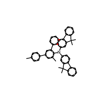 Cc1ccc(-c2cc(C)c(N(c3ccc4c(c3)C(C)(C)c3ccccc3-4)c3ccc4c(c3)C(C)(C)c3ccccc3-4)c(-c3ccccc3)c2)cc1